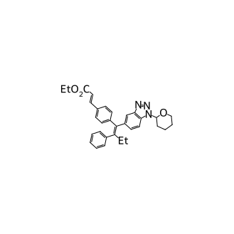 CCOC(=O)/C=C/c1ccc(/C(=C(/CC)c2ccccc2)c2ccc3c(c2)nnn3C2CCCCO2)cc1